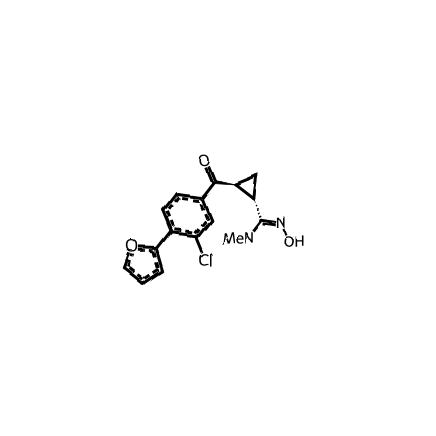 CN/C(=N\O)[C@H]1C[C@@H]1C(=O)c1ccc(-c2ccco2)c(Cl)c1